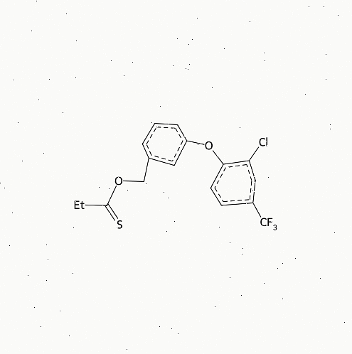 CCC(=S)OCc1cccc(Oc2ccc(C(F)(F)F)cc2Cl)c1